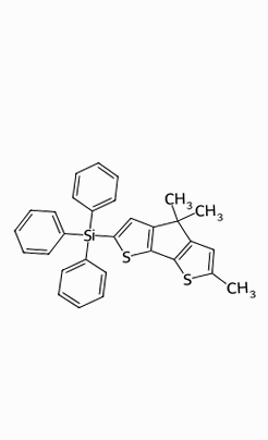 Cc1cc2c(s1)-c1sc([Si](c3ccccc3)(c3ccccc3)c3ccccc3)cc1C2(C)C